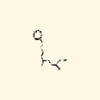 CCCOC(=O)CCN(C)CCSSc1ccccn1